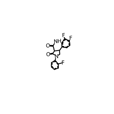 NC(=O)C1C(=O)N(c2ccccc2F)CC1c1ccc(F)c(F)c1